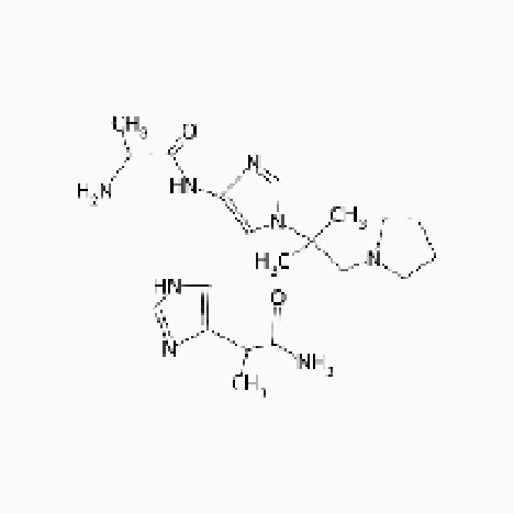 CC(C(N)=O)c1c[nH]cn1.CC(N)C(=O)Nc1cn(C(C)(C)CN2CCCC2)cn1